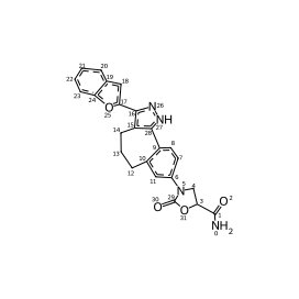 NC(=O)C1CN(c2ccc3c(c2)CCCc2c(-c4cc5ccccc5o4)n[nH]c2-3)C(=O)O1